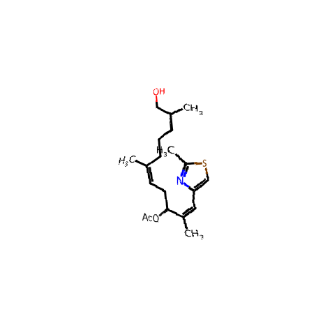 CC(=O)OC(CC=C(C)CCCC(C)CO)C(C)=Cc1csc(C)n1